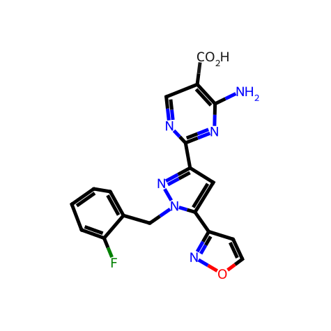 Nc1nc(-c2cc(-c3ccon3)n(Cc3ccccc3F)n2)ncc1C(=O)O